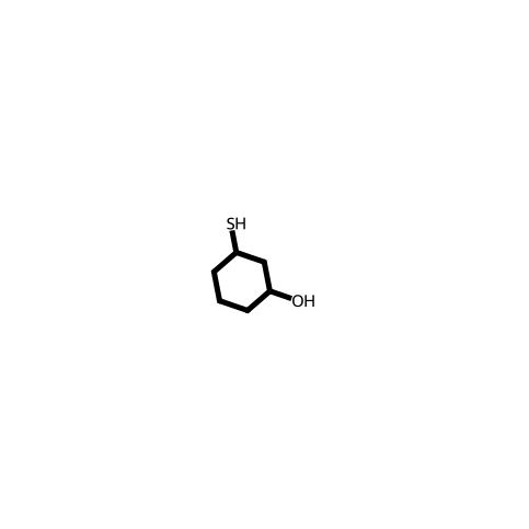 OC1CCCC(S)C1